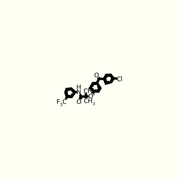 CC(C)(Oc1ccc(C(=O)c2ccc(Cl)cc2)cc1)C(=O)Nc1cccc(C(F)(F)F)c1